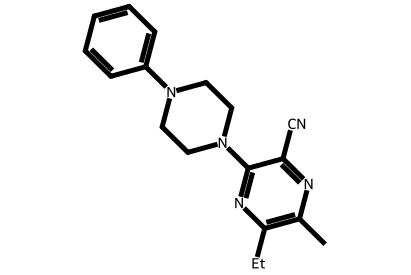 CCc1nc(N2CCN(c3ccccc3)CC2)c(C#N)nc1C